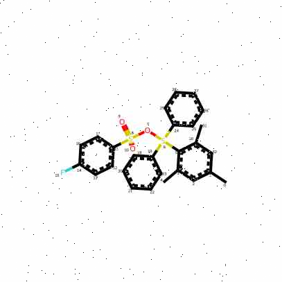 Cc1cc(C)c(S(OS(=O)(=O)c2ccc(F)cc2)(c2ccccc2)c2ccccc2)c(C)c1